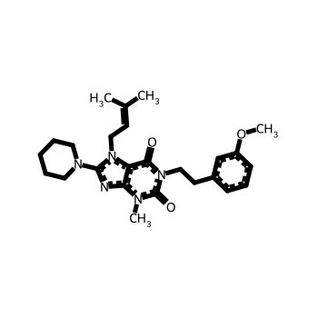 COc1cccc(CCn2c(=O)c3c(nc(N4CCCCC4)n3CC=C(C)C)n(C)c2=O)c1